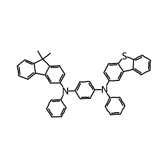 CC1(C)c2ccccc2-c2cc(N(c3ccccc3)c3ccc(N(c4ccccc4)c4ccc5sc6ccccc6c5c4)cc3)ccc21